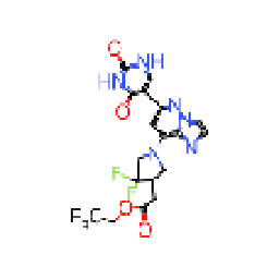 O=C(CC1CN(c2cc(-c3c[nH]c(=O)[nH]c3=O)nn3ccnc23)CC1(F)F)OCC(F)(F)F